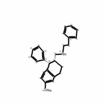 COc1ccc2c(c1)CC[C@@H](CNCCc1ccccc1)[C@H]2c1ccccc1